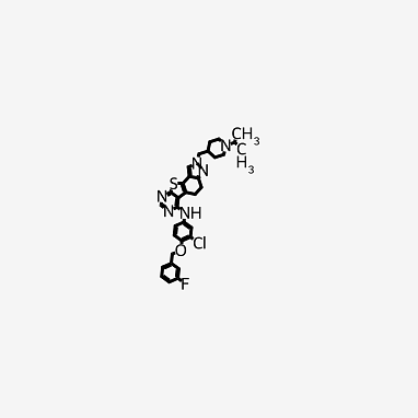 CC(C)N1CCC(Cn2cc3c(n2)CCc2c-3sc3ncnc(Nc4ccc(OCc5cccc(F)c5)c(Cl)c4)c23)CC1